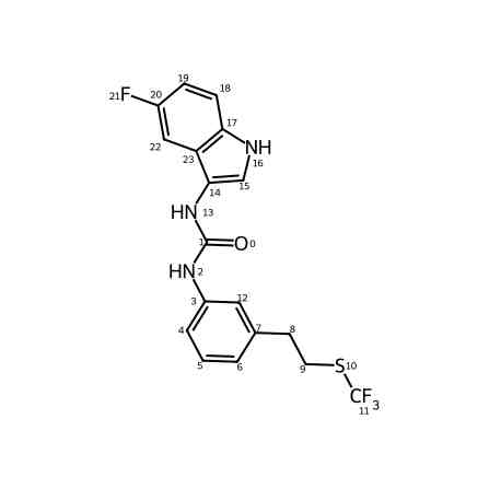 O=C(Nc1cccc(CCSC(F)(F)F)c1)Nc1c[nH]c2ccc(F)cc12